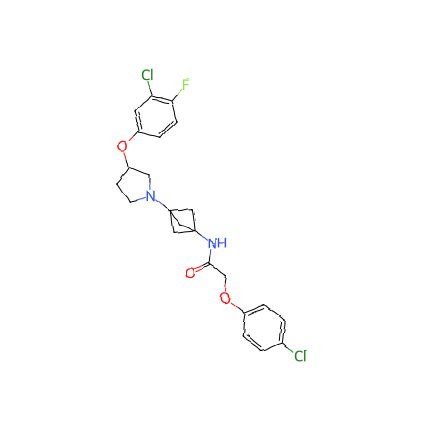 O=C(COc1ccc(Cl)cc1)NC12CC(N3CCC(Oc4ccc(F)c(Cl)c4)C3)(C1)C2